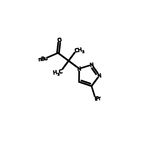 CCCCC(=O)C(C)(C)n1cc(C(C)C)nn1